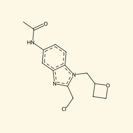 CC(=O)Nc1ccc2c(c1)nc(CCl)n2CC1CCO1